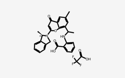 Cc1cc(C(C)Nc2ccccc2C(=O)O)c2oc(N3Cc4ccccc4[C@H]3C)cc(=O)c2c1.O=C(O)C(F)(F)F